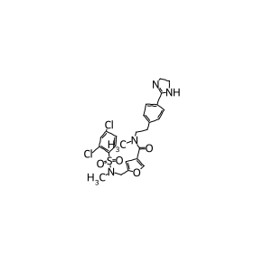 CN(CCc1ccc(C2=NCCN2)cc1)C(=O)c1coc(CN(C)S(=O)(=O)c2ccc(Cl)cc2Cl)c1